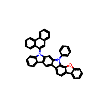 c1ccc(-n2c3cc4c(cc3c3ccc5c6ccccc6oc5c32)c2ccccc2n4-c2cc3ccccc3c3ccccc23)cc1